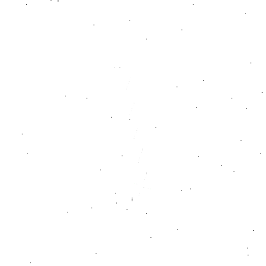 CCCCCCCCCCCCCCCCCC[Si](Cl)(Cl)C(C)C